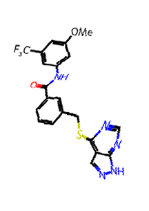 COc1cc(NC(=O)c2cccc(CSc3ncnc4[nH]ncc34)c2)cc(C(F)(F)F)c1